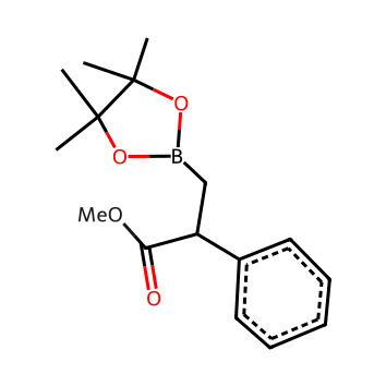 COC(=O)C(CB1OC(C)(C)C(C)(C)O1)c1ccccc1